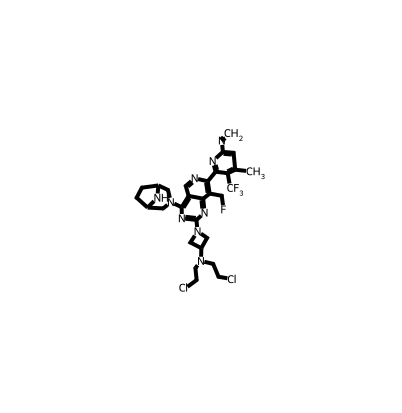 C=Nc1cc(C)c(C(F)(F)F)c(-c2ncc3c(N4CC5CCC(C4)N5)nc(N4CC(N(CCCl)CCCl)C4)nc3c2CF)n1